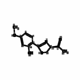 COc1ccc(C2=N[C@@H](C(C)=O)CS2)c(O)c1